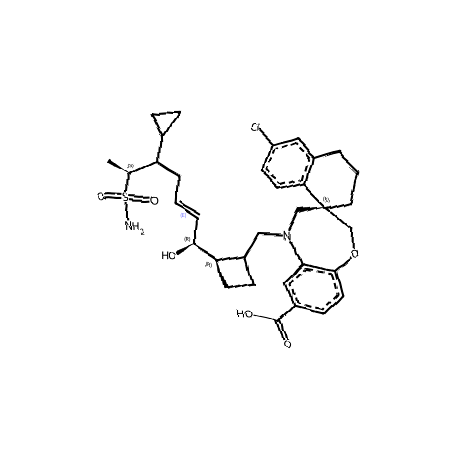 C[C@@H](C(C/C=C/[C@H](O)[C@@H]1CCC1CN1C[C@@]2(CCCc3cc(Cl)ccc32)COc2ccc(C(=O)O)cc21)C1CC1)S(N)(=O)=O